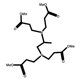 COC(=O)CCN(CCC(=O)OC)CC(C)N(CCC(=O)OC)CCC(=O)OC